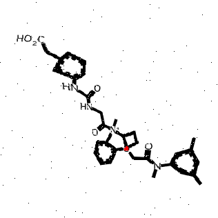 Cc1cc(C)cc(N(C)C(=O)COc2ccccc2[N+](C)(C(=O)CNC(=O)Nc2cccc(CC(=O)O)c2)C2CCC2)c1